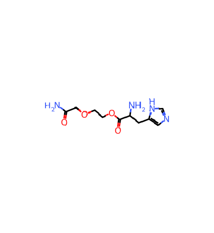 NC(=O)COCCOC(=O)C(N)Cc1cnc[nH]1